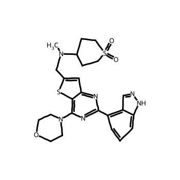 CN(Cc1cc2nc(-c3cccc4[nH]ncc34)nc(N3CCOCC3)c2s1)C1CCS(=O)(=O)CC1